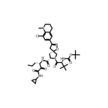 CCC[C@H](NC(=O)[C@@H]1C[C@@]2(CC(c3cc(Cl)c4c(c3)CCCN4C)=NO2)CN1C(=O)[C@@H](NC(=O)OC(C)(C)C)C(C)(C)C)C(=O)C(=O)NC1CC1